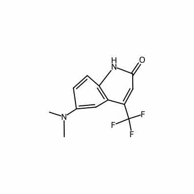 CN(C)c1ccc2[nH]c(=O)cc(C(F)(F)F)c2c1